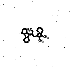 C=C/C(=C\c1c(C)n(C)c2ccccc12)n1c2ccccc2c2ccccc21